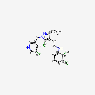 O=C(O)c1nn(Cc2cncc(F)c2)c(Cl)c1CCNc1cccc(Cl)c1F